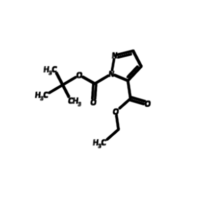 CCOC(=O)c1ccnn1C(=O)OC(C)(C)C